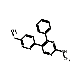 CNc1ncc(-c2ccc(OC)nn2)c(-c2ccccc2)n1